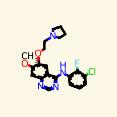 COc1cc2ncnc(Nc3cccc(Cl)c3F)c2cc1OCCN1CCCC1